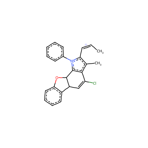 C/C=C\c1c(C)c2c(n1-c1ccccc1)C1Oc3ccccc3C1C=C2Cl